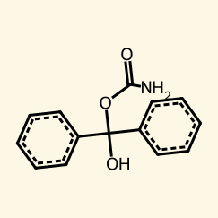 NC(=O)OC(O)(c1ccccc1)c1ccccc1